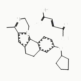 CC1=NCCn2c1cc1c2-c2ccc(OC3CCCC3)cc2CC1.O=C(O)/C=C/C(=O)O